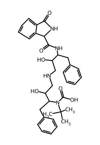 CC(C)(C)N(C(=O)O)C(Cc1ccccc1)C(O)CNCC(O)C(Cc1ccccc1)NC(=O)C1NC(=O)c2ccccc21